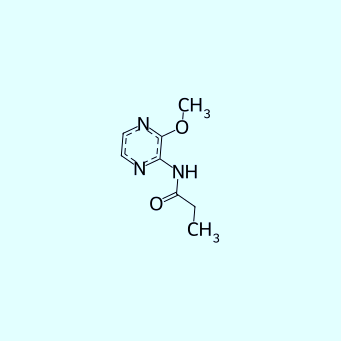 CCC(=O)Nc1nccnc1OC